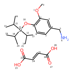 COc1cc(CN)ccc1O[Si](C(C)C)(C(C)C)C(C)C.O=C(O)C=CC(=O)O